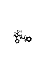 OC1ON=C(C2CCCC2)C1N=Nc1nc2ccccc2o1